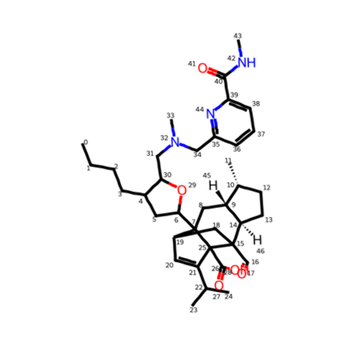 CCCCC1CC(C23C[C@@H]4[C@H](C)CC[C@H]4C4(C=O)CC2C=C(C(C)C)C34C(=O)O)OC1CN(C)Cc1cccc(C(=O)NC)n1